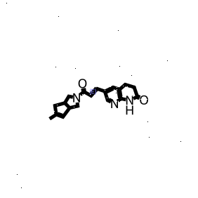 CC1=CC2CN(C(=O)/C=C/c3cnc4c(c3)CCC(=O)N4)CC2C1